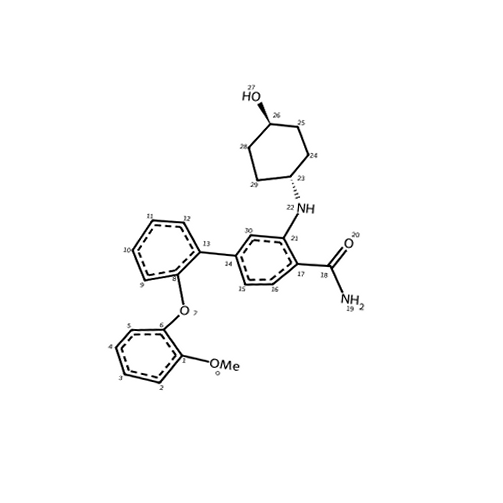 COc1ccccc1Oc1ccccc1-c1ccc(C(N)=O)c(N[C@H]2CC[C@H](O)CC2)c1